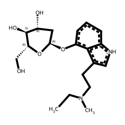 CCN(C)CCc1c[nH]c2cccc(O[C@@H]3C[C@@H](O)[C@H](O)[C@@H](CO)O3)c12